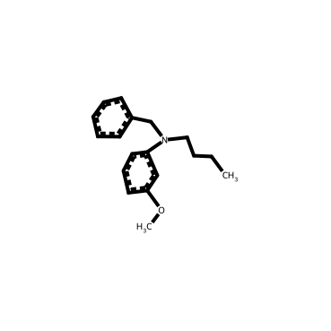 CCCCN(Cc1ccccc1)c1cccc(OC)c1